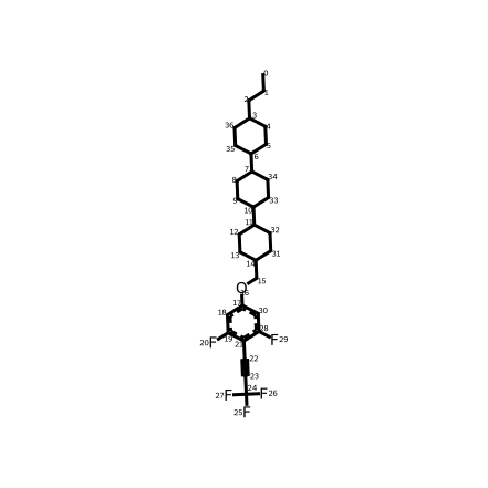 CCCC1CCC(C2CCC(C3CCC(COc4cc(F)c(C#CC(F)(F)F)c(F)c4)CC3)CC2)CC1